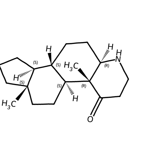 C[C@@]12CCC[C@H]1[C@@H]1CC[C@H]3NCCC(=O)[C@]3(C)[C@H]1CC2